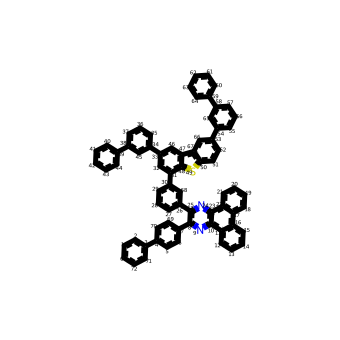 c1ccc(-c2ccc(-c3nc4c5ccccc5c5ccccc5c4nc3-c3cccc(-c4cc(-c5cccc(-c6ccccc6)c5)cc5c4sc4ccc(-c6cccc(-c7ccccc7)c6)cc45)c3)cc2)cc1